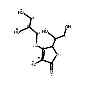 O=C1OC(C(O)CO)C(OCC(O)CO)=C1O